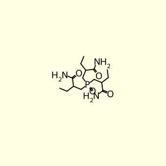 CCC(CP(=O)(CC(CC)C(N)=O)CC(CC)C(N)=O)C(N)=O